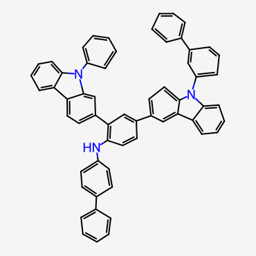 c1ccc(-c2ccc(Nc3ccc(-c4ccc5c(c4)c4ccccc4n5-c4cccc(-c5ccccc5)c4)cc3-c3ccc4c5ccccc5n(-c5ccccc5)c4c3)cc2)cc1